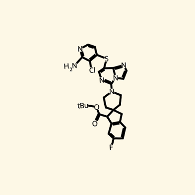 CC(C)(C)OC(=O)C1c2cc(F)ccc2CC12CCN(c1ncc(Sc3ccnc(N)c3Cl)c3nccn13)CC2